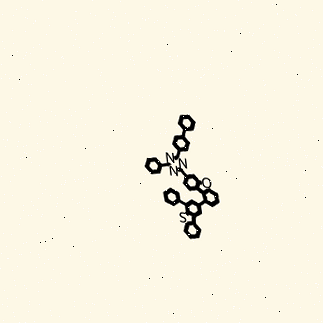 c1ccc(-c2ccc(-c3nc(-c4ccccc4)nc(-c4ccc5c(c4)oc4cccc(-c6cc(-c7ccccc7)c7sc8ccccc8c7c6)c45)n3)cc2)cc1